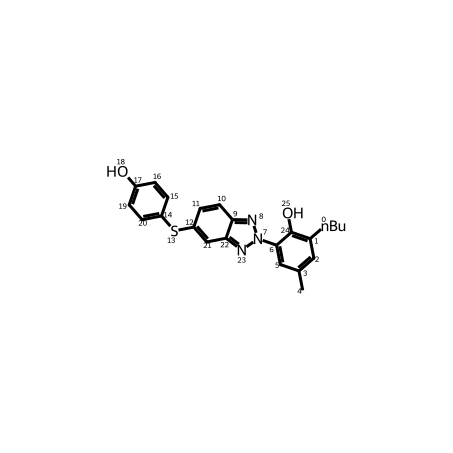 CCCCc1cc(C)cc(-n2nc3ccc(Sc4ccc(O)cc4)cc3n2)c1O